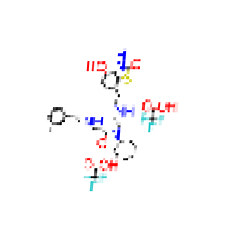 Cc1cccc(CCNCCC(=O)N(CCNCCc2ccc(O)c3[nH]c(=O)sc23)C2CCCCCC2)c1.O=C(O)C(F)(F)F.O=C(O)C(F)(F)F